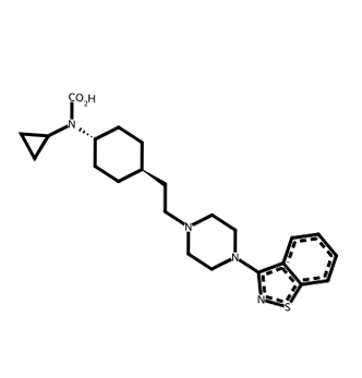 O=C(O)N(C1CC1)[C@H]1CC[C@H](CCN2CCN(c3nsc4ccccc34)CC2)CC1